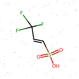 O=S(=O)(O)C=CC(F)(F)F